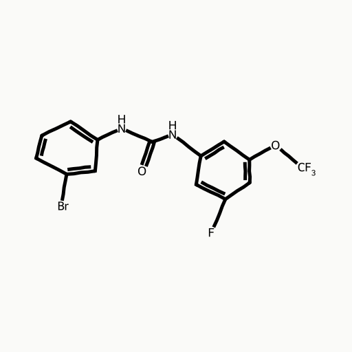 O=C(Nc1cccc(Br)c1)Nc1cc(F)cc(OC(F)(F)F)c1